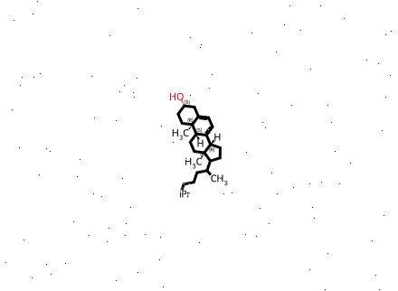 CC(C)CCCC(C)C1CC[C@H]2C3=CC=C4C[C@@H](O)CC[C@]4(C)[C@H]3CC[C@]12C